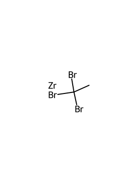 CC(Br)(Br)Br.[Zr]